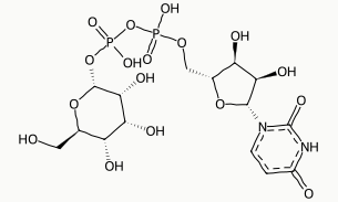 O=c1ccn([C@@H]2O[C@H](COP(=O)(O)OP(=O)(O)O[C@H]3O[C@H](CO)[C@@H](O)[C@@H](O)[C@H]3O)[C@@H](O)[C@H]2O)c(=O)[nH]1